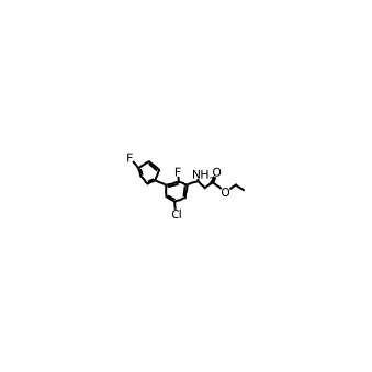 CCOC(=O)CC(N)c1cc(Cl)cc(-c2ccc(F)cc2)c1F